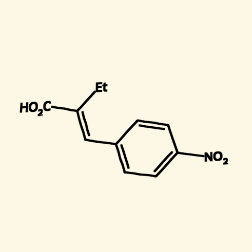 CC/C(=C\c1ccc([N+](=O)[O-])cc1)C(=O)O